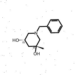 C[C@@]1(O)C[C@H](O)CN(Cc2ccccc2)C1